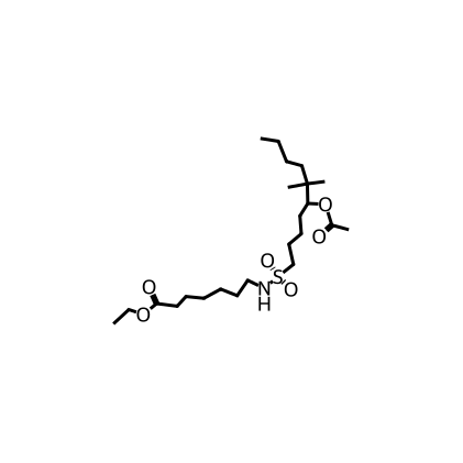 CCCCC(C)(C)C(CCCCS(=O)(=O)NCCCCCCC(=O)OCC)OC(C)=O